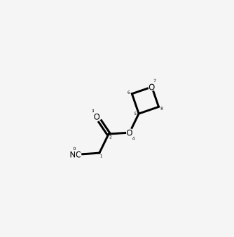 N#CCC(=O)OC1COC1